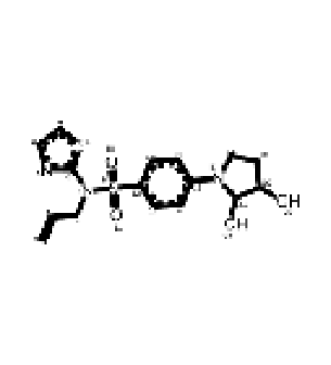 C=CCN(c1nccs1)S(=O)(=O)c1ccc(N2CCC(O)C2O)cc1